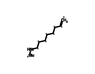 C=CCCCCCCNC(C)(C)C